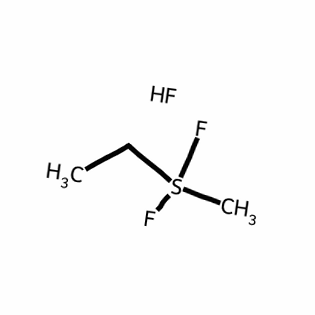 CCS(C)(F)F.F